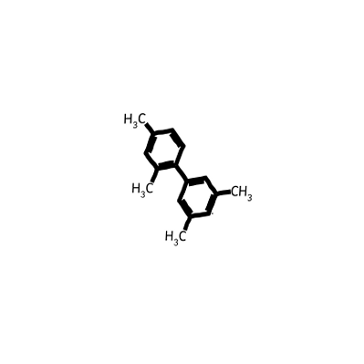 Cc1[c]c(C)cc(-c2ccc(C)cc2C)c1